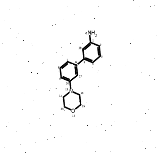 Nc1cccc(-c2cccc(N3CCOCC3)c2)c1